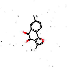 Cc1ccc2c(c1)C(=O)C(=O)c1c(C)coc1-2